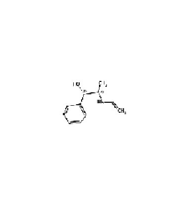 C=CN[C@H](C)[C@@H](O)c1ccccc1